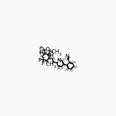 C[C@H]1OC(=O)[C@@H]2CC(F)(F)[C@@H](C)[C@H](/C=C/c3ccc(-c4ccccc4C#N)cn3)[C@H]12